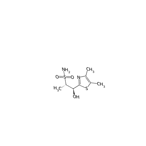 Cc1nc([C@@H](O)[C@H](C)S(N)(=O)=O)sc1C